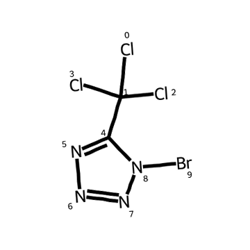 ClC(Cl)(Cl)c1nnnn1Br